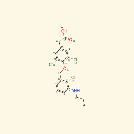 CCCNc1cccc(COc2c(Cl)cc(CC(=O)O)cc2Cl)c1Cl